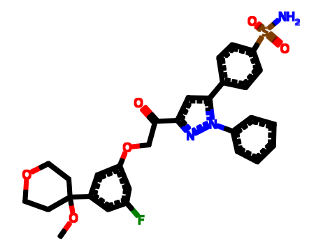 COC1(c2cc(F)cc(OCC(=O)c3cc(-c4ccc(S(N)(=O)=O)cc4)n(-c4ccccc4)n3)c2)CCOCC1